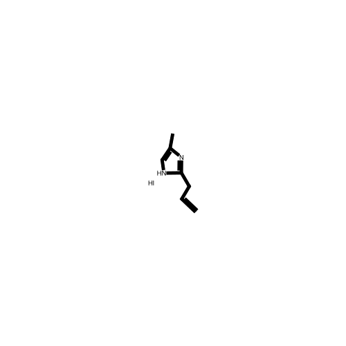 C=CCc1nc(C)c[nH]1.I